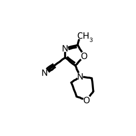 Cc1nc(C#N)c(N2CCOCC2)o1